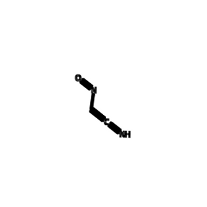 N=C=CN=O